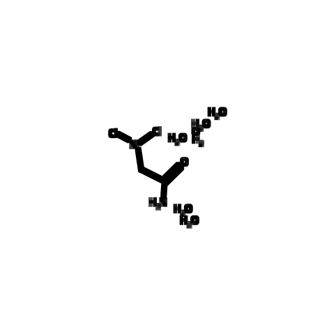 NC(=O)[CH2][Ni]([Cl])[Cl].O.O.O.O.O.O